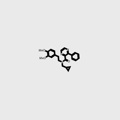 COc1ccc(CCN(CC2CC2)C(=O)c2nccnc2-c2ccccc2)cc1OC